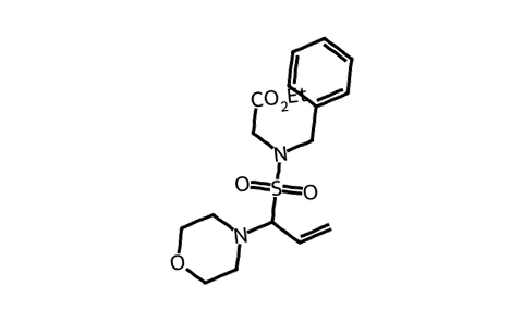 C=CC(N1CCOCC1)S(=O)(=O)N(CC(=O)OCC)Cc1ccccc1